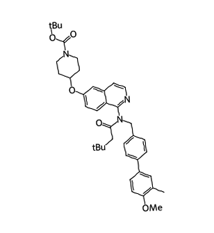 COc1ccc(-c2ccc(CN(C(=O)CC(C)(C)C)c3nccc4cc(OC5CCN(C(=O)OC(C)(C)C)CC5)ccc34)cc2)cc1C